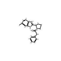 Cc1cnc2nc(C3CCCN3C(=O)Cc3ccccc3)sc2c1